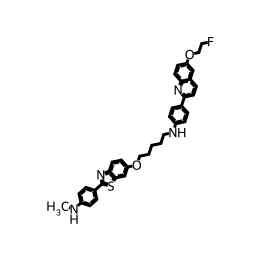 CNc1ccc(-c2nc3ccc(OCCCCCNc4ccc(-c5ccc6cc(OCCF)ccc6n5)cc4)cc3s2)cc1